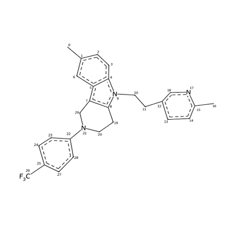 Cc1ccc2c(c1)c1c(n2CCc2ccc(C)nc2)CCN(c2ccc(C(F)(F)F)cc2)C1